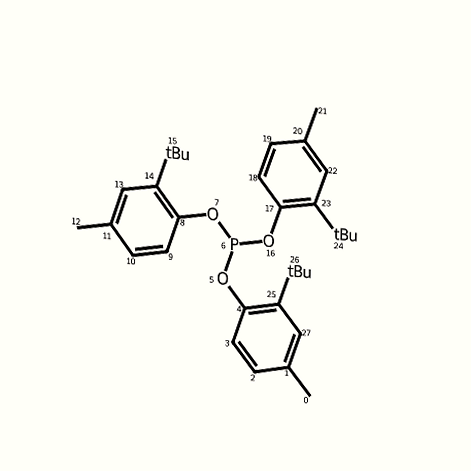 Cc1ccc(OP(Oc2ccc(C)cc2C(C)(C)C)Oc2ccc(C)cc2C(C)(C)C)c(C(C)(C)C)c1